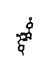 O=C(O)C(Cc1ccc(I)cc1)Nc1nc(-c2ccc(Cl)cc2)cs1